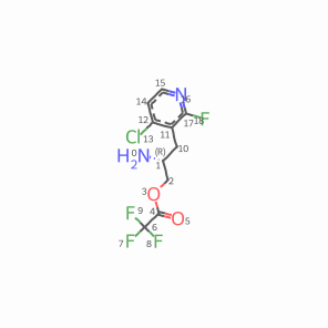 N[C@@H](COC(=O)C(F)(F)F)Cc1c(Cl)ccnc1F